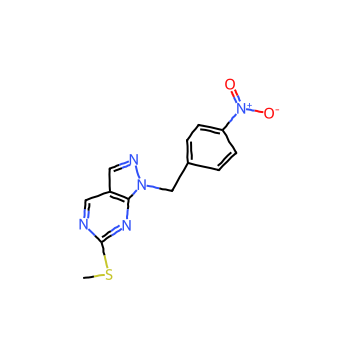 CSc1ncc2cnn(Cc3ccc([N+](=O)[O-])cc3)c2n1